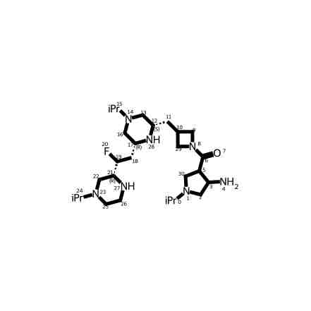 CC(C)N1CC(N)C(C(=O)N2CC(C[C@H]3CN(C(C)C)C[C@@H](CC(F)[C@H]4CN(C(C)C)CCN4)N3)C2)C1